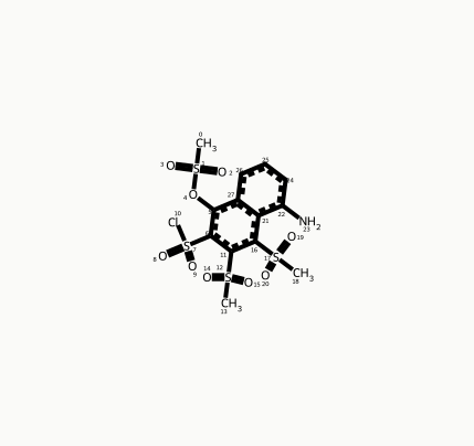 CS(=O)(=O)Oc1c(S(=O)(=O)Cl)c(S(C)(=O)=O)c(S(C)(=O)=O)c2c(N)cccc12